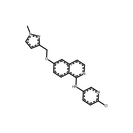 Cn1ccc(COc2ccc3c(Nc4ccc(Cl)nc4)nccc3c2)n1